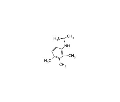 Cc1ccc(NC(C)C)c(C)c1C